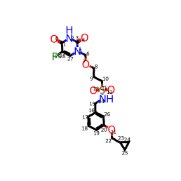 O=c1[nH]c(=O)n(COCCCS(=O)(=O)NCc2cccc(OCC3CC3)c2)cc1F